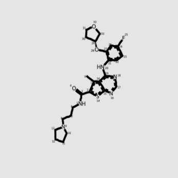 Cc1c(C(=O)NCCCN2CCCC2)sc2ncnc(Nc3ccc(F)cc3O[C@H]3CCOC3)c12